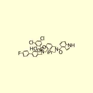 CC(C)CN(Cc1cccc(CN(Cc2ccc(-c3ccc(F)cc3)cc2)S(=O)(=O)c2cc(Cl)cc(Cl)c2O)c1)C(=O)c1cccc2[nH]ccc12